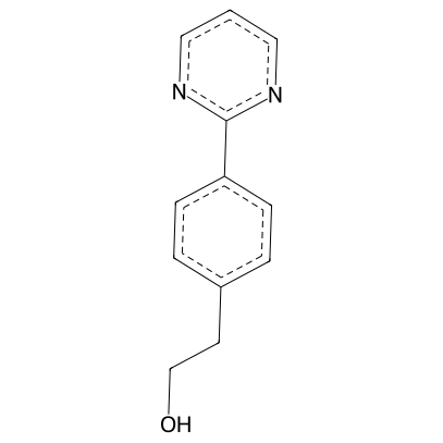 OCCc1ccc(-c2ncccn2)cc1